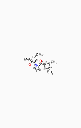 C[O][Po]/[CH]=C(\C(=O)OC)n1cccc1C(=O)c1cc(C)cc(C)c1